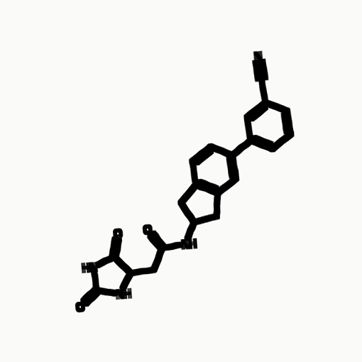 N#Cc1cccc(-c2ccc3c(c2)CC(NC(=O)CC2NC(=O)NC2=O)C3)c1